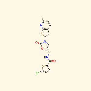 Cc1ccc2c(n1)SC(N1C[C@H](CNC(=O)c3ccc(Cl)s3)OC1=O)C2